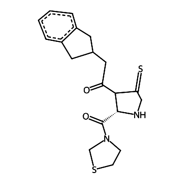 O=C(CC1Cc2ccccc2C1)C1C(=S)CN[C@@H]1C(=O)N1CCSC1